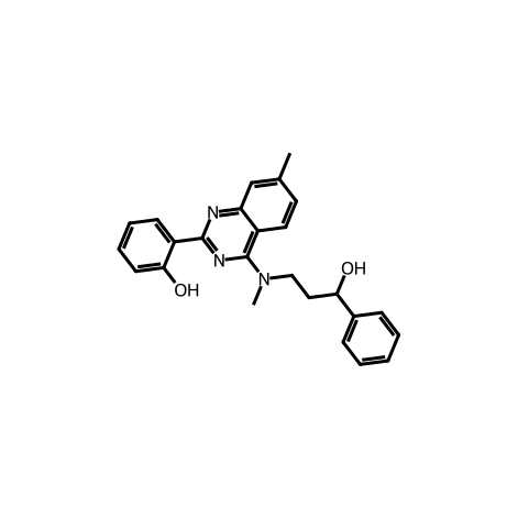 Cc1ccc2c(N(C)CCC(O)c3ccccc3)nc(-c3ccccc3O)nc2c1